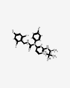 C[C@H](Nc1nccc(N(C(=O)NCc2c(F)cc(F)cc2F)c2ccc(F)cc2)n1)C(C)(C)O